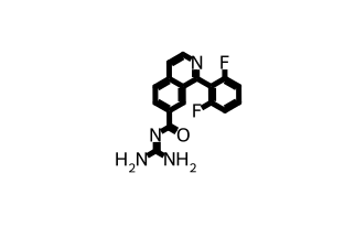 NC(N)=NC(=O)c1ccc2ccnc(-c3c(F)cccc3F)c2c1